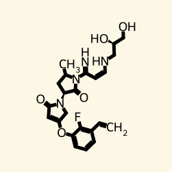 C=Cc1cccc(OC2=CC(=O)N([C@H]3CC(C)N(C(=N)/C=C\NC[C@@H](O)CO)C3=O)C2)c1F